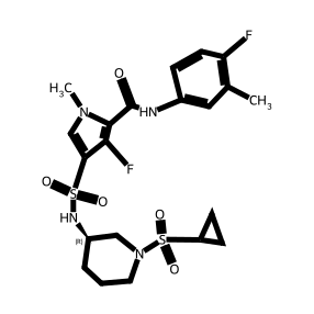 Cc1cc(NC(=O)c2c(F)c(S(=O)(=O)N[C@@H]3CCCN(S(=O)(=O)C4CC4)C3)cn2C)ccc1F